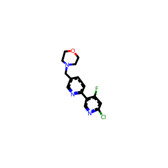 Fc1cc(Cl)ncc1-c1ccc(CN2CCOCC2)cn1